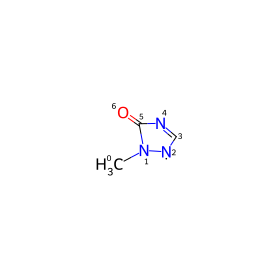 CN1[N]C=NC1=O